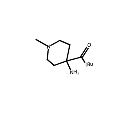 CN1CCC(N)(C(=O)C(C)(C)C)CC1